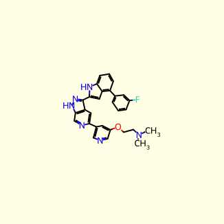 CN(C)CCOc1cncc(-c2cc3c(-c4cc5c(-c6cccc(F)c6)cccc5[nH]4)n[nH]c3cn2)c1